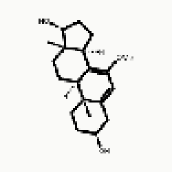 COC1=C2[C@@H]3CC[C@H](O)[C@@]3(C)CC[C@@H]2[C@@]2(C)CC[C@H](O)CC2=C1